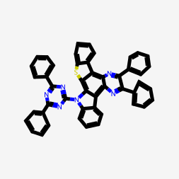 c1ccc(-c2nc(-c3ccccc3)nc(-n3c4ccccc4c4c5nc(-c6ccccc6)c(-c6ccccc6)nc5c5c6ccccc6sc5c43)n2)cc1